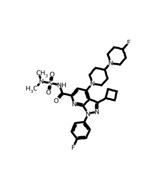 CN(C)S(=O)(=O)NC(=O)c1cc(N2CCC(N3CCC(F)CC3)CC2)c2c(C3CCC3)nn(-c3ccc(F)cc3)c2n1